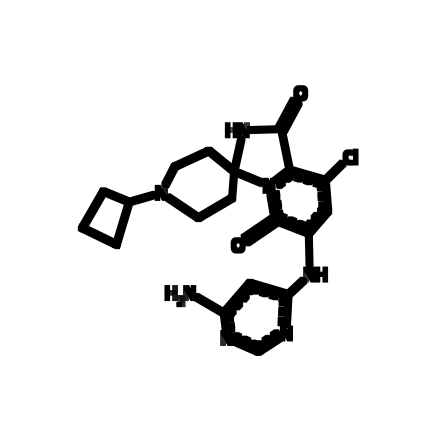 Nc1cc(Nc2cc(Cl)c3n(c2=O)C2(CCN(C4CCC4)CC2)NC3=O)ncn1